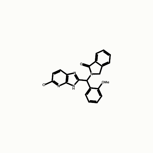 COc1ccccc1C(c1nc2ccc(Cl)nc2[nH]1)N1Cc2ccccc2C1=O